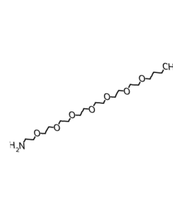 CCCCOCCOCCOCCOCCOCCOCCOCCN